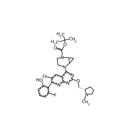 CN1CCC[C@H]1COc1nc(N2CCN(C(=O)OC(C)(C)C)C3CC32)c2cc(Cl)c(-c3c(O)cccc3F)nc2n1